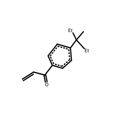 C=CC(=O)c1ccc(C(C)(CC)CC)cc1